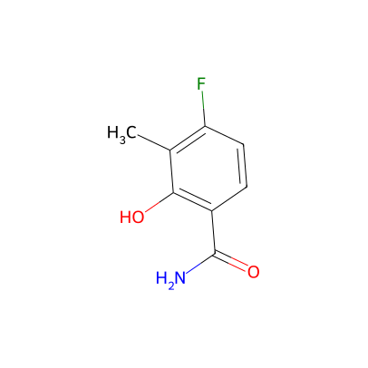 Cc1c(F)ccc(C(N)=O)c1O